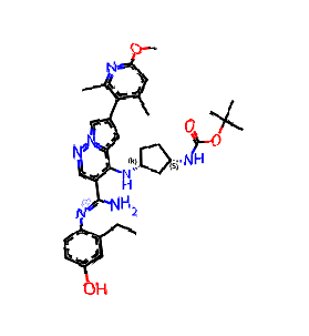 CCc1cc(O)ccc1/N=C(\N)c1cnn2cc(-c3c(C)cc(OC)nc3C)cc2c1N[C@@H]1CC[C@H](NC(=O)OC(C)(C)C)C1